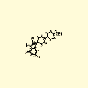 CCOC1CCC(N2CCC(n3c(=O)[nH]c4c(F)cc(C)cc43)CC2)CC1